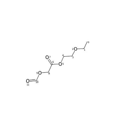 CCOCCOC(=O)CO[C]=O